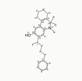 CC(CCCc1ccccc1)c1cc2c(cc1O)C1=C(CCCC1)C(C)(C)N2C